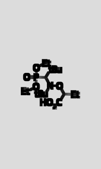 CCOP(=O)(OCC)C(N(OC(CC)C(=O)O)C(C)(C)C)C(C)(C)C